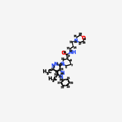 Cc1nnc(N2CCCC(C(=O)NCCCN3CCOCC3)C2)c2nn(-c3ccccc3)c(C)c12